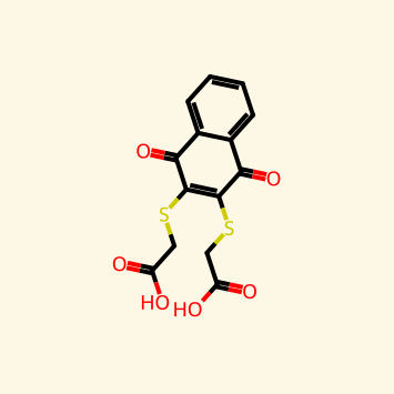 O=C(O)CSC1=C(SCC(=O)O)C(=O)c2ccccc2C1=O